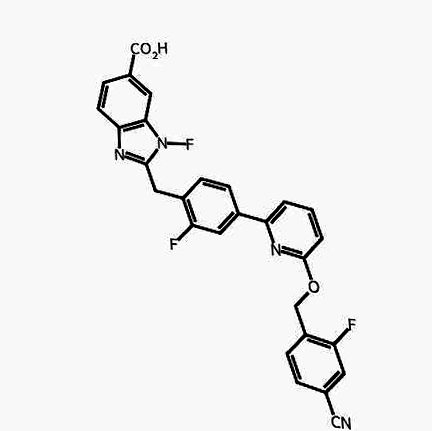 N#Cc1ccc(COc2cccc(-c3ccc(Cc4nc5ccc(C(=O)O)cc5n4F)c(F)c3)n2)c(F)c1